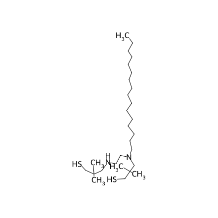 CCCCCCCCCCCCCCCCN(CCNCC(C)(C)CS)CC(C)(C)CS